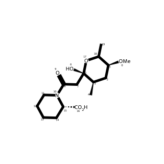 CO[C@H]1C[C@@H](C)[C@](O)(CC(=O)N2CCCC[C@H]2C(=O)O)OC1C